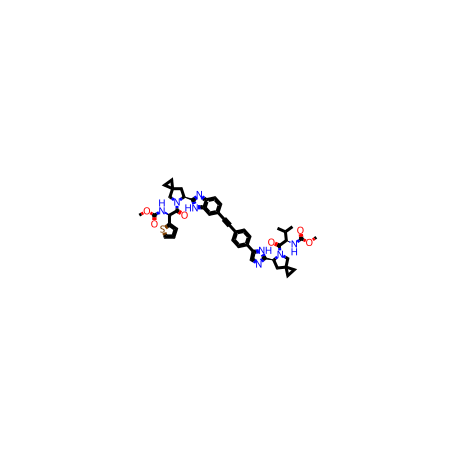 COC(=O)N[C@H](C(=O)N1CC2(CC2)C[C@H]1c1ncc(-c2ccc(C#Cc3ccc4nc([C@@H]5CC6(CC6)CN5C(=O)[C@H](NC(=O)OC)c5cccs5)[nH]c4c3)cc2)[nH]1)C(C)C